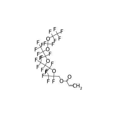 C=CC(=O)OCC(F)(OC(F)(F)C(F)(OC(F)(F)C(F)(OC(F)(F)OC(F)(F)C(F)(F)F)C(F)(F)F)C(F)(F)F)C(F)(F)F